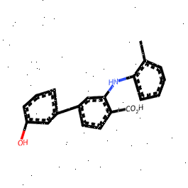 Cc1ccccc1Nc1cc(-c2cccc(O)c2)ccc1C(=O)O